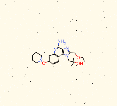 CCOCc1nc2c(N)nc3cc(ON4CCCCC4)ccc3c2n1CC(C)(C)O